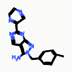 Cc1ccc(Cn2nc3nc(-c4cnccn4)ncc3c2N)cc1